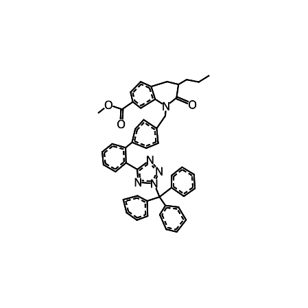 CCCC1Cc2ccc(C(=O)OC)cc2N(Cc2ccc(-c3ccccc3-c3nnn(C(c4ccccc4)(c4ccccc4)c4ccccc4)n3)cc2)C1=O